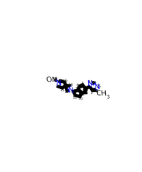 Cc1cc(-c2ccc3c(c2)CC[C@H]3N2CC3(CCN(N=O)CC3)C2)ncn1